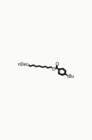 CCCCCCCCCCCCCCCCCCOC(=O)c1ccc(C(C)(C)C)cc1